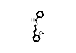 COc1ccccc1C=CC=NNc1ccccc1